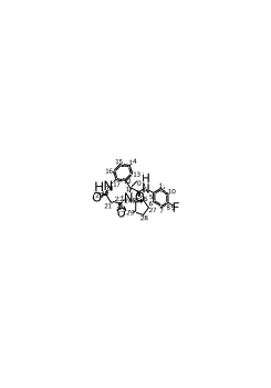 CC1(C(=O)Nc2ccc(F)cc2)c2ccccc2NC(=O)CC(=O)N1C1CCCC1